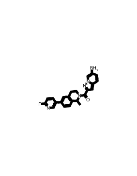 Bc1ccc2cc(C(=O)N3CCc4cc(-c5ccc(F)nc5)ccc4C3C)nn2c1